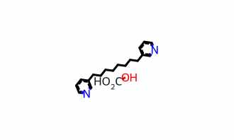 O=C(O)O.c1cncc(CCCCCCCCc2cccnc2)c1